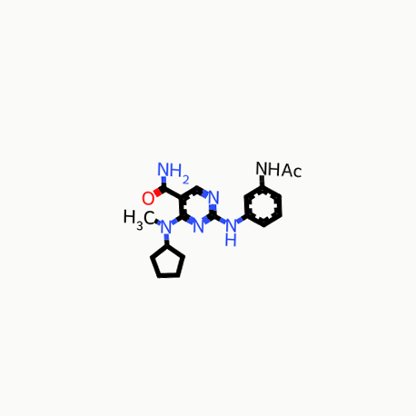 CC(=O)Nc1cccc(Nc2ncc(C(N)=O)c(N(C)C3CCCC3)n2)c1